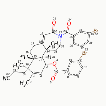 CC1=C[C@@H](OC(=O)c2cccc(Br)c2)[C@H]2[C@@H](CCC3=CC(=O)N(C(=O)c4cccc(Br)c4)CC[C@@]32C)[C@]1(C)CCC#N